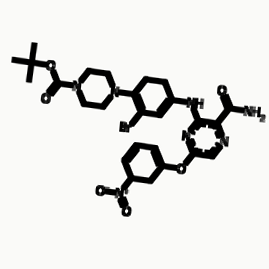 CC(C)(C)OC(=O)N1CCN(C2=C(Br)C=C(Nc3nc(OC4=CC=CC([N+](=O)[O-])C4)cnc3C(N)=O)CC2)CC1